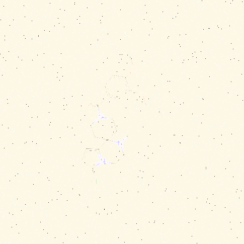 CCCOc1cc(C(=O)N2CCC3(CC2)c2ccc(Cl)n2CCN3C)ccc1OC